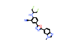 Cn1cnc2ccc(-c3nnc(-c4ccc(NC(CF)CF)c(C#N)c4)o3)cc21